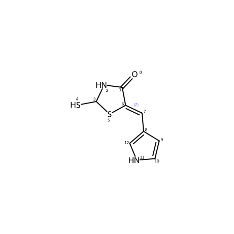 O=C1NC(S)S/C1=C\c1cc[nH]c1